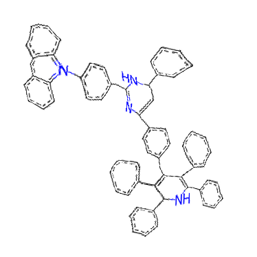 C1=C(c2ccc(C3=C(c4ccccc4)C(c4ccccc4)NC(c4ccccc4)=C3c3ccccc3)cc2)N=C(c2ccc(-n3c4ccccc4c4ccccc43)cc2)NC1c1ccccc1